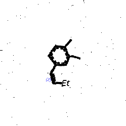 CC/C=[C]\c1ccc(C)c(C)c1